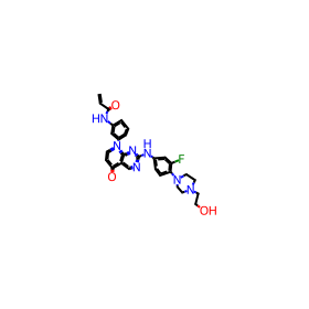 C=CC(=O)Nc1cccc(-n2ccc(=O)c3cnc(Nc4ccc(N5CCN(CCO)CC5)c(F)c4)nc32)c1